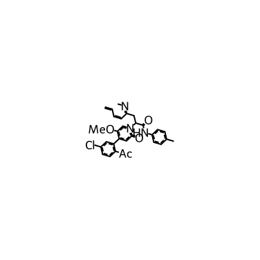 C=C/C=C\C(CC(C(=O)Nc1ccc(C)cc1)n1cc(OC)c(-c2cc(Cl)ccc2C(C)=O)cc1=O)=N/C